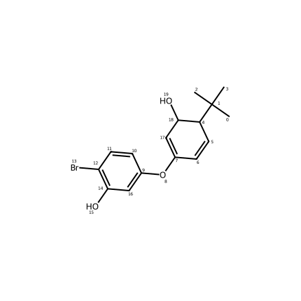 CC(C)(C)C1C=CC(Oc2ccc(Br)c(O)c2)=CC1O